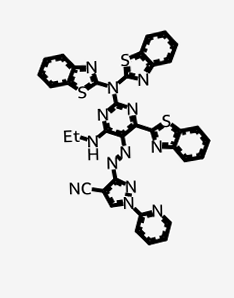 CCNc1nc(N(c2nc3ccccc3s2)c2nc3ccccc3s2)nc(-c2nc3ccccc3s2)c1N=Nc1nn(-c2ccccn2)cc1C#N